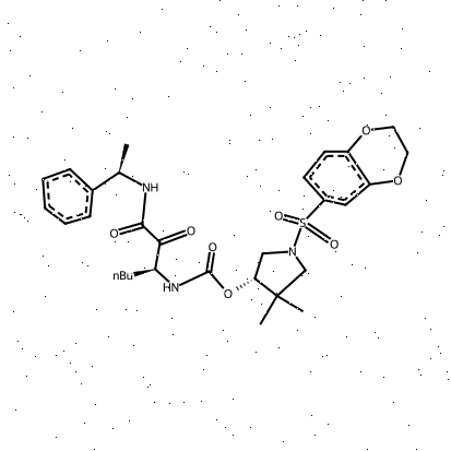 CCCC[C@H](NC(=O)O[C@@H]1CN(S(=O)(=O)c2ccc3c(c2)OCCO3)CC1(C)C)C(=O)C(=O)N[C@H](C)c1ccccc1